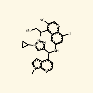 Cn1ccc2c(C(Nc3cc(Cl)c4ncc(C#N)c(NCC(C)(C)C)c4c3)c3cn(C4CC4)nn3)ccnc21